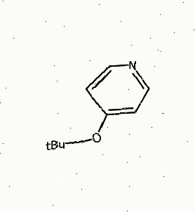 CC(C)(C)Oc1ccncc1